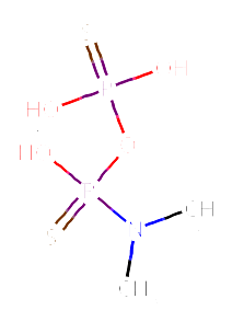 CN(C)P(O)(=S)OP(O)(O)=S